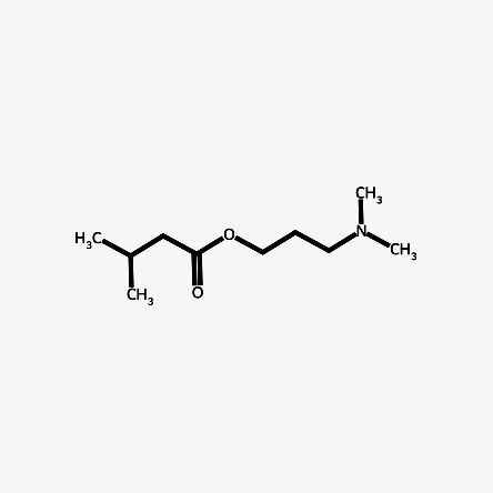 CC(C)CC(=O)OCCCN(C)C